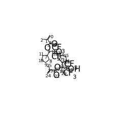 C=C(C)C(=O)OC(C1CCCC1)C(OC1CCC(C(C)(OC(=O)C(=C)C)C(O)(C(F)(F)F)C(F)(F)F)C1)(C(F)(F)F)C(F)(F)F